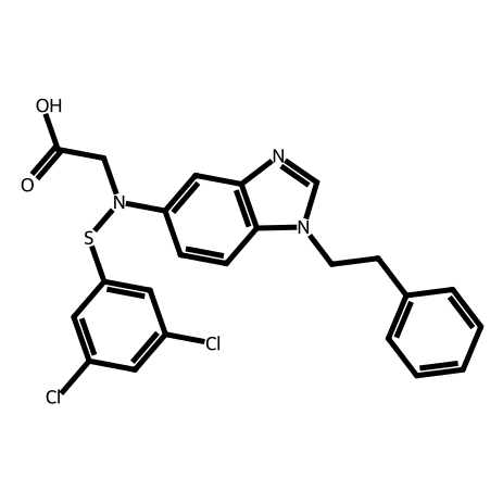 O=C(O)CN(Sc1cc(Cl)cc(Cl)c1)c1ccc2c(c1)ncn2CCc1ccccc1